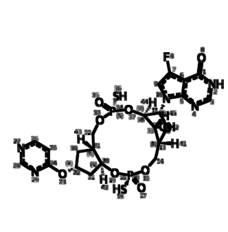 O=c1[nH]cnc2c1c(F)cn2[C@@H]1O[C@@H]2CO[P@@](=O)(S)O[C@H]3C[C@H](Oc4ccncn4)C[C@@H]3CO[P@](=O)(S)O[C@@H]1[C@@H]2O